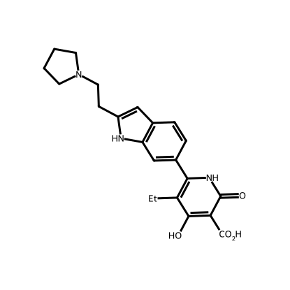 CCc1c(-c2ccc3cc(CCN4CCCC4)[nH]c3c2)[nH]c(=O)c(C(=O)O)c1O